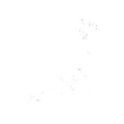 CCC(NC(=O)CCCC[C@H]1SC[C@H]2NC(=O)N[C@H]21)N(C)C(=O)[C@@H](N)CCCCNC(=O)O